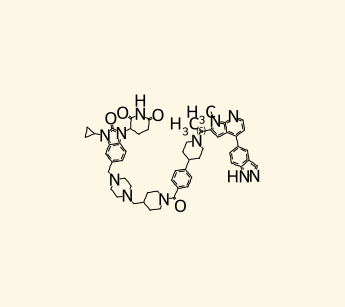 C[C@@H](c1cc2c(-c3ccc4[nH]ncc4c3)ccnc2n1C)N1CCC(c2ccc(C(=O)N3CCC(CN4CCN(Cc5ccc6c(c5)n(C5CC5)c(=O)n6C5CCC(=O)NC5=O)CC4)CC3)cc2)CC1